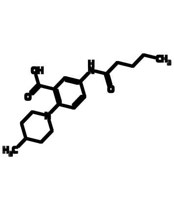 CCCCC(=O)Nc1ccc(N2CCC(C)CC2)c(C(=O)O)c1